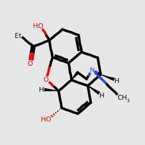 CCC(=O)C1(O)CC=C2C[C@@H]3[C@@H]4C=C[C@H](O)[C@@H]5OC1=C2[C@]45CCN3C